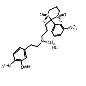 COc1ccc(CCN(C)CCCC2(c3cccc([N+](=O)[O-])c3)S(=O)(=O)CCCS2(=O)=O)cc1OC.Cl